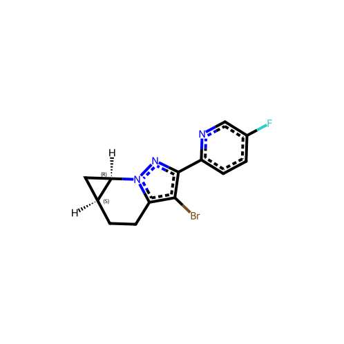 Fc1ccc(-c2nn3c(c2Br)CC[C@H]2C[C@H]23)nc1